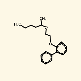 CCCCC(C)OCCOc1ccccc1-c1ccccc1